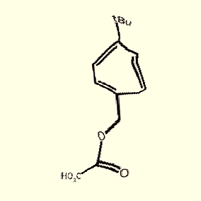 CC(C)(C)c1ccc(COC(=O)C(=O)O)cc1